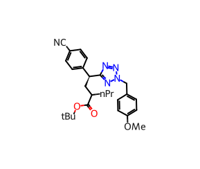 CCCC(C[C@@H](c1ccc(C#N)cc1)c1nnn(Cc2ccc(OC)cc2)n1)C(=O)OC(C)(C)C